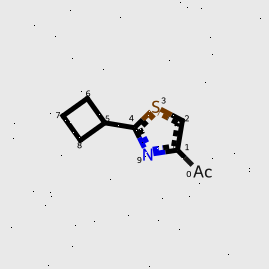 CC(=O)c1csc(C2CCC2)n1